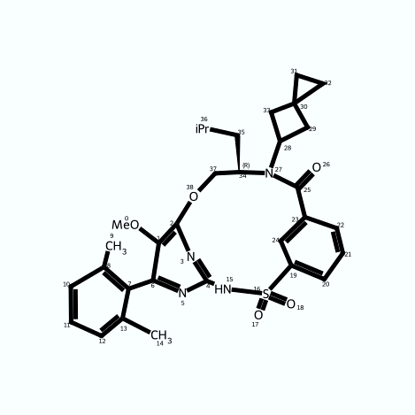 COc1c2nc(nc1-c1c(C)cccc1C)NS(=O)(=O)c1cccc(c1)C(=O)N(C1CC3(CC3)C1)[C@H](CC(C)C)CO2